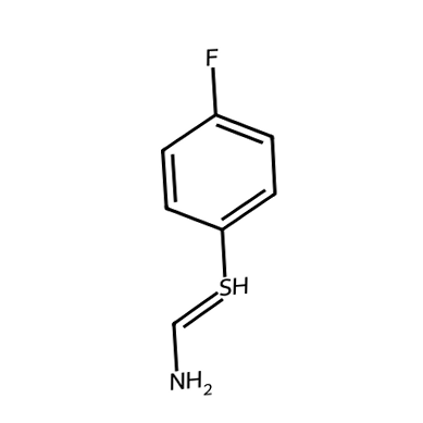 NC=[SH]c1ccc(F)cc1